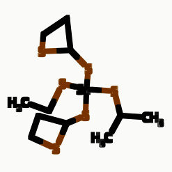 CC[S][Sn]([S]C(C)C)([S]C1CCS1)[S]C1CCS1